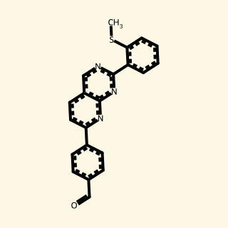 CSc1ccccc1-c1ncc2ccc(-c3ccc(C=O)cc3)nc2n1